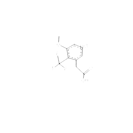 COc1cccc(CC(=O)O)c1C(F)(F)F.Cl